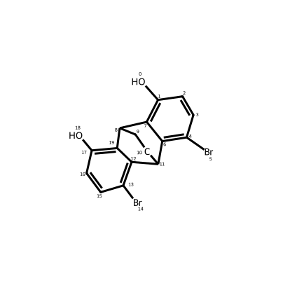 Oc1ccc(Br)c2c1C1CCC2c2c(Br)ccc(O)c21